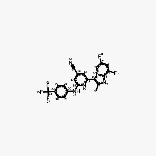 Cc1nc2c(F)cc(F)cn2c1-c1cc(C#N)cc(Nc2ccc(C(F)(F)F)cc2)n1